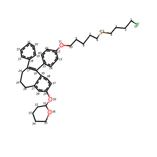 FCCCCSCCCCCOc1ccc(C2=C(c3ccccc3)CCCc3cc(OC4CCCCO4)ccc32)cc1